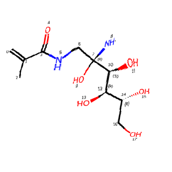 C=C(C)C(=O)NC[C@@]([NH])(O)[C@@H](O)[C@H](O)[C@H](O)CO